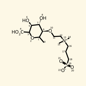 CC1OC(C(=O)O)[C@@H](O)[C@H](O)[C@H]1OCC[N+](C)(C)CCCS(=O)(=O)[O-]